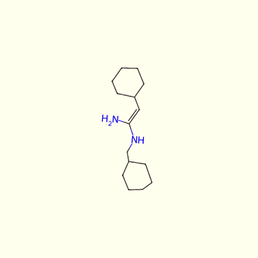 N/C(=C\C1CCCCC1)NCC1CCCCC1